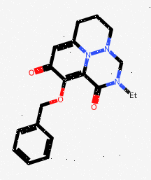 CCN1CN2CCCc3cc(=O)c(OCc4ccccc4)c(n32)C1=O